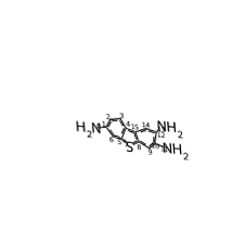 Nc1ccc2c(c1)sc1cc(N)c(N)cc12